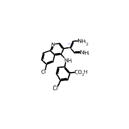 N=C/C(=C\N)c1cnc2ccc(Cl)cc2c1Nc1ccc(Cl)cc1C(=O)O